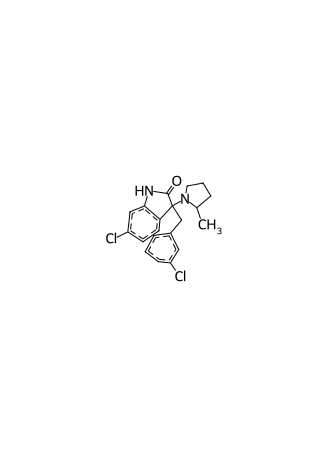 CC1CCCN1C1(Cc2cccc(Cl)c2)C(=O)Nc2cc(Cl)ccc21